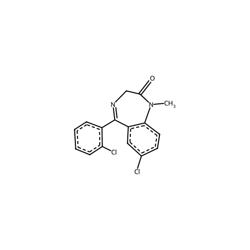 CN1C(=O)CN=C(c2ccccc2Cl)c2cc(Cl)ccc21